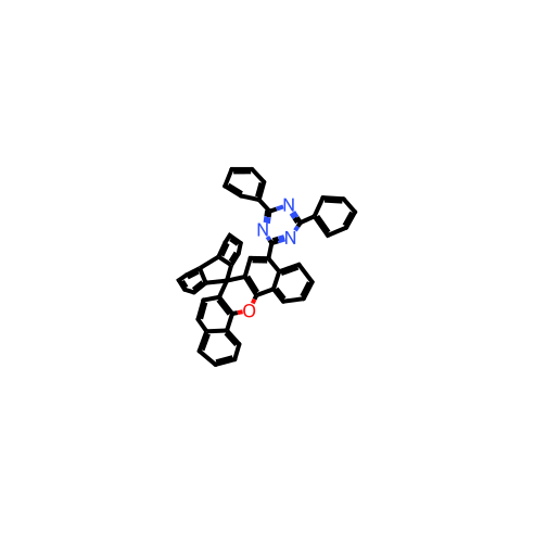 c1ccc(-c2nc(-c3ccccc3)nc(-c3cc4c(c5ccccc35)Oc3c(ccc5ccccc35)C43c4ccccc4-c4ccccc43)n2)cc1